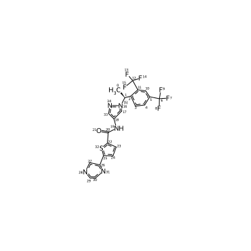 C[C@@H](c1ccc(C(F)(F)F)cc1C(F)(F)F)n1cc(NC(=O)c2ccc(-c3cnccn3)s2)cn1